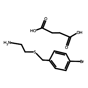 NCCSCc1ccc(Br)cc1.O=C(O)CCC(=O)O